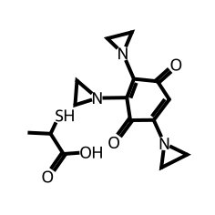 CC(S)C(=O)O.O=C1C=C(N2CC2)C(=O)C(N2CC2)=C1N1CC1